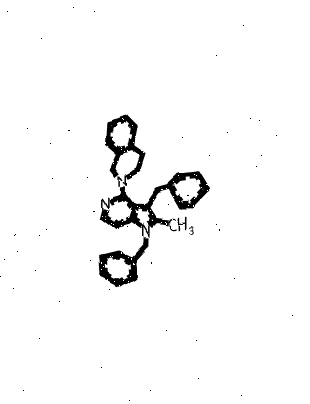 Cc1c(Cc2ccccc2)c2c(N3CCc4ccccc4C3)nccc2n1Cc1ccccc1